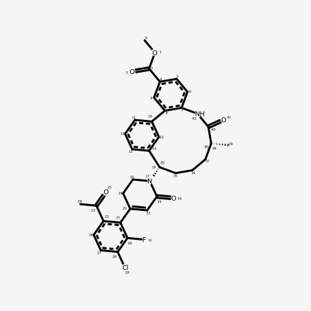 COC(=O)c1ccc2c(c1)-c1cccc(c1)[C@@H](N1CCC(c3c(C(C)=O)ccc(Cl)c3F)=CC1=O)CCC[C@@H](C)C(=O)N2